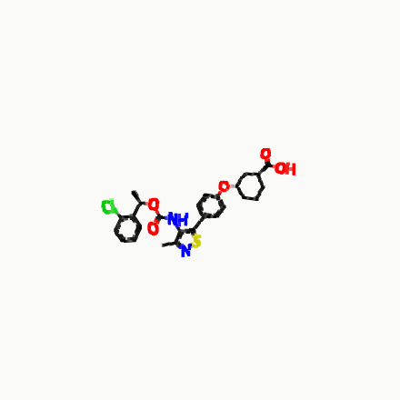 Cc1nsc(-c2ccc(O[C@H]3CCC[C@H](C(=O)O)C3)cc2)c1NC(=O)O[C@H](C)c1ccccc1Cl